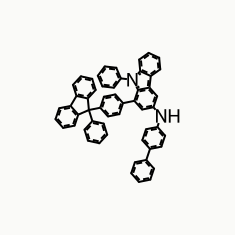 c1ccc(-c2ccc(Nc3cc(-c4ccc(C5(c6ccccc6)c6ccccc6-c6ccccc65)cc4)c4c(c3)c3ccccc3n4-c3ccccc3)cc2)cc1